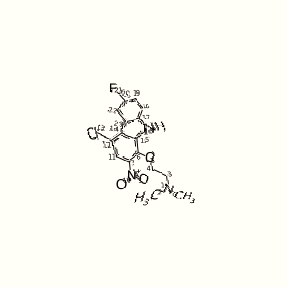 CN(C)CCOc1c([N+](=O)[O-])cc(Cl)c2c1[nH]c1ccc(F)cc12